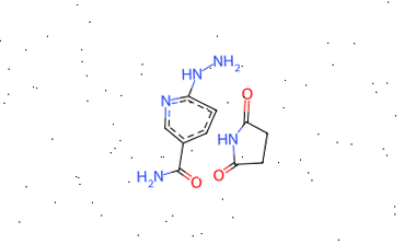 NNc1ccc(C(N)=O)cn1.O=C1CCC(=O)N1